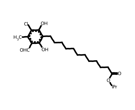 Cc1c(Cl)c(O)c(CCCCCCCCCCCC(=O)OC(C)C)c(O)c1C=O